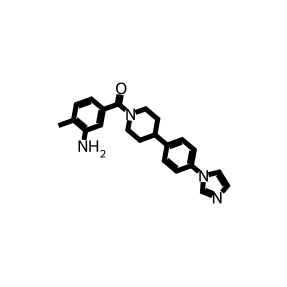 Cc1ccc(C(=O)N2CCC(c3ccc(-n4ccnc4)cc3)CC2)cc1N